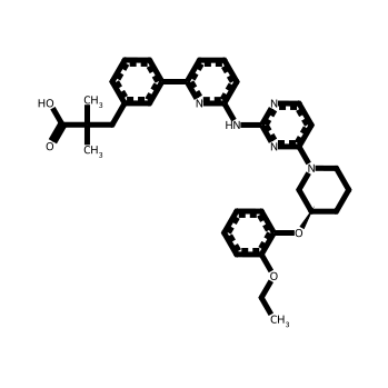 CCOc1ccccc1O[C@@H]1CCCN(c2ccnc(Nc3cccc(-c4cccc(CC(C)(C)C(=O)O)c4)n3)n2)C1